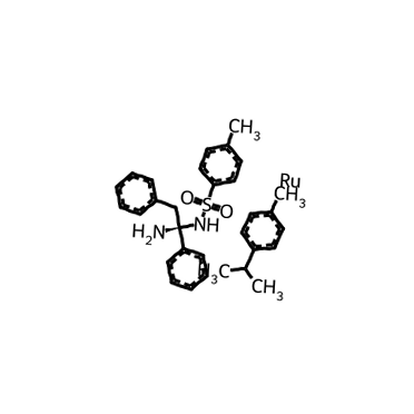 Cc1ccc(C(C)C)cc1.Cc1ccc(S(=O)(=O)N[C@@](N)(Cc2ccccc2)c2ccccc2)cc1.[Ru]